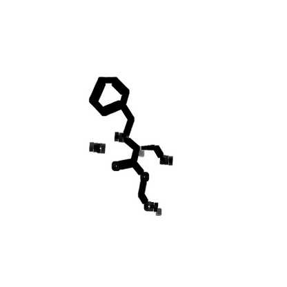 CCOC(=O)[C@@H](CS)NCc1ccccc1.Cl